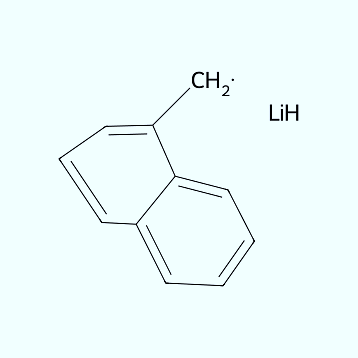 [CH2]c1cccc2ccccc12.[LiH]